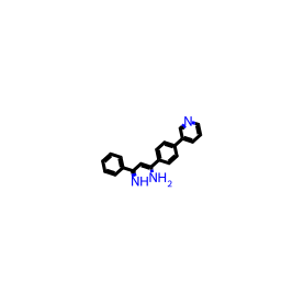 N=C(/C=C(\N)c1ccc(-c2cccnc2)cc1)c1ccccc1